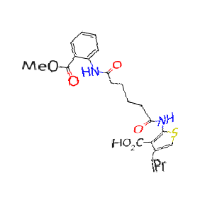 COC(=O)c1ccccc1NC(=O)CCCCC(=O)Nc1scc(C(C)C)c1C(=O)O